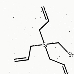 C=CC[Si](CS)(CC=C)CC=C